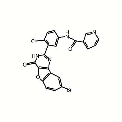 O=C(Nc1ccc(Cl)c(-c2nc3c(oc4ccc(Br)cc43)c(=O)[nH]2)c1)c1cccnc1